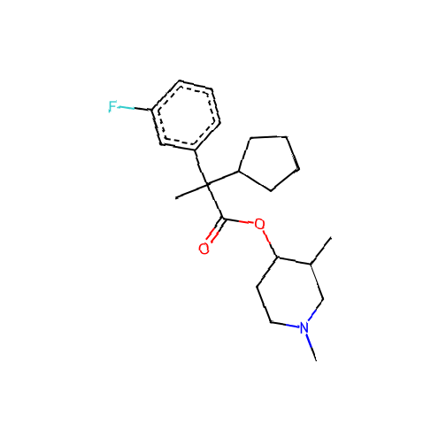 CC1CN(C)CCC1OC(=O)C(C)(c1cccc(F)c1)C1CCCC1